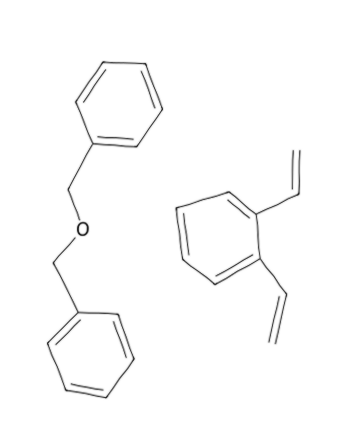 C=Cc1ccccc1C=C.c1ccc(COCc2ccccc2)cc1